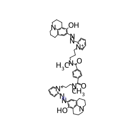 CN(CCC[n+]1ccccc1N=Nc1cc2c3c(c1O)CCCN3CCC2)C(=O)c1ccc(C(=O)N(C)CCC[n+]2ccccc2/N=N/c2cc3c4c(c2O)CCCN4CCC3)cc1